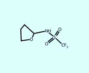 O=S(=O)(NC1CCCO1)C(F)(F)F